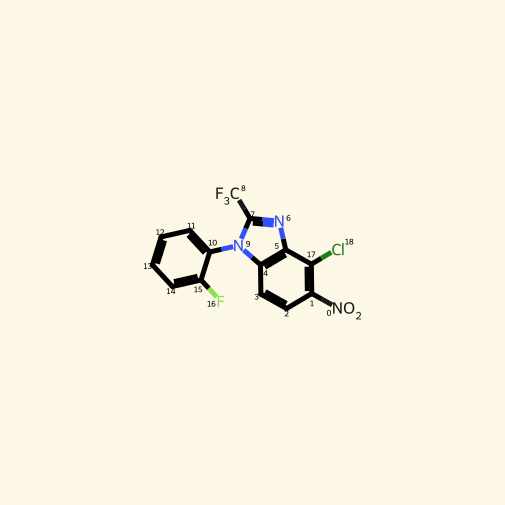 O=[N+]([O-])c1ccc2c(nc(C(F)(F)F)n2-c2ccccc2F)c1Cl